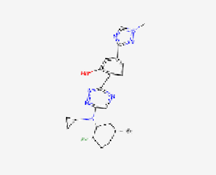 CC[C@@H]1CC[C@H](F)[C@H](N(c2cnc(-c3ccc(-c4ncn(C)n4)cc3O)nn2)C2CC2)C1